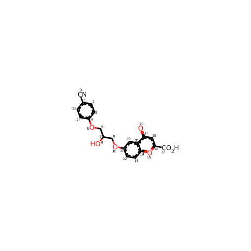 N#Cc1ccc(OCC(O)COc2ccc3oc(C(=O)O)cc(=O)c3c2)cc1